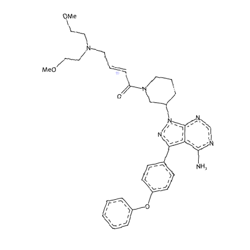 COCCN(C/C=C/C(=O)N1CCCC(n2nc(-c3ccc(Oc4ccccc4)cc3)c3c(N)ncnc32)C1)CCOC